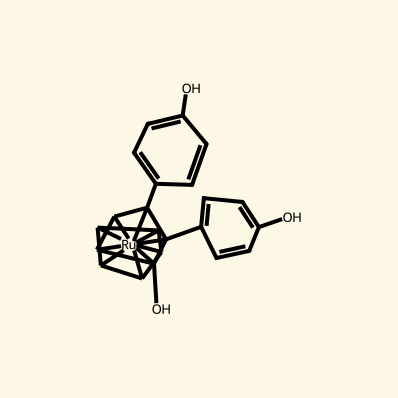 Oc1ccc([C]23[CH]4[CH]5[C]6(O)[C]2(c2ccc(O)cc2)[Ru]54632789[CH]3[CH]2[CH]7[CH]8[CH]39)cc1